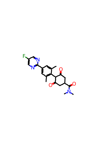 Cc1cc(-c2ncc(F)cn2)cc(C)c1C1C(=O)CC(C(=O)N(C)C)CC1=O